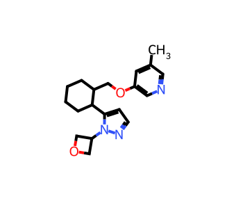 Cc1cncc(OCC2CCCCC2c2ccnn2C2COC2)c1